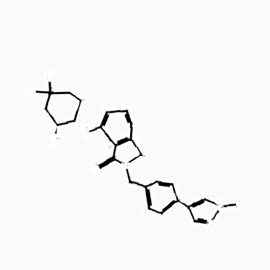 Cn1cc(-c2ccc(CN3Cc4cccc(O[C@H]5CCC(F)(F)C[C@@H]5O)c4C3=O)cc2)cn1